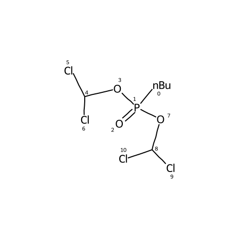 CCCCP(=O)(OC(Cl)Cl)OC(Cl)Cl